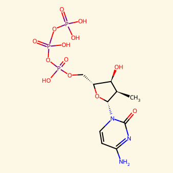 C[C@@H]1[C@H](O)[C@@H](COP(=O)(O)OP(=O)(O)OP(=O)(O)O)O[C@H]1n1ccc(N)nc1=O